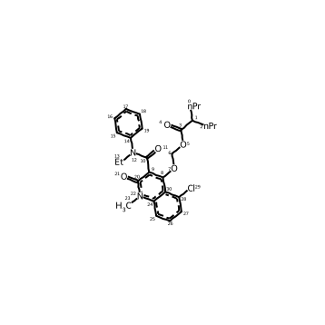 CCCC(CCC)C(=O)OCOc1c(C(=O)N(CC)c2ccccc2)c(=O)n(C)c2cccc(Cl)c12